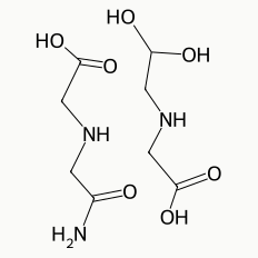 NC(=O)CNCC(=O)O.O=C(O)CNCC(O)O